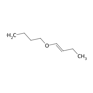 [CH2]CCCOC=CCC